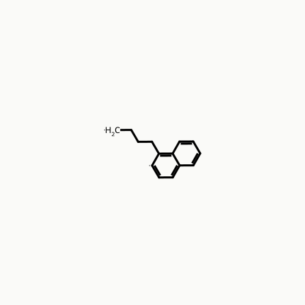 [CH2]CCCc1[c]ccc2ccccc12